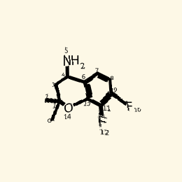 CC1(C)CC(N)c2ccc(F)c(F)c2O1